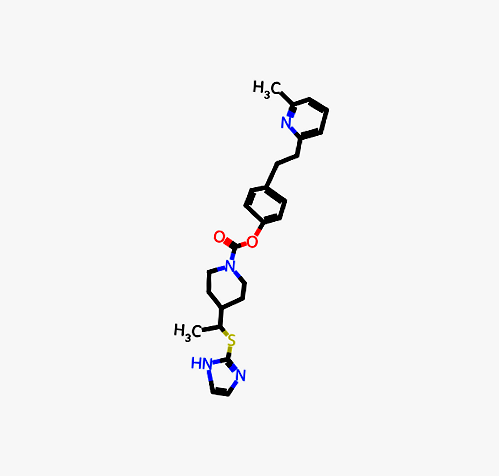 Cc1cccc(CCc2ccc(OC(=O)N3CCC(C(C)Sc4ncc[nH]4)CC3)cc2)n1